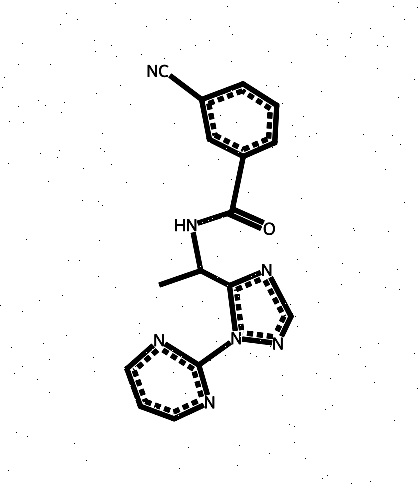 CC(NC(=O)c1cccc(C#N)c1)c1ncnn1-c1ncccn1